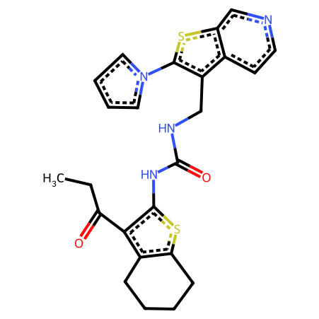 CCC(=O)c1c(NC(=O)NCc2c(-n3cccc3)sc3cnccc23)sc2c1CCCC2